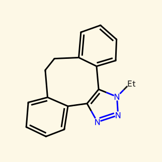 CCn1nnc2c1-c1ccccc1CCc1ccccc1-2